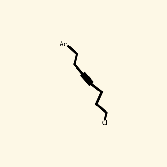 CC(=O)CCC#CCCCCl